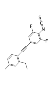 CCc1cc(C)ccc1C#Cc1cc(F)c(N=C=S)c(F)c1